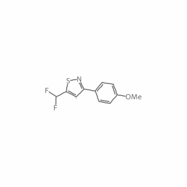 COc1ccc(-c2[c]c(C(F)F)sn2)cc1